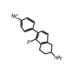 CCCC1CCc2c(ccc(-c3ccc(C#N)cc3)c2F)C1